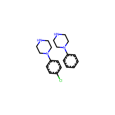 Clc1ccc(N2CCNCC2)cc1.c1ccc(N2CCNCC2)cc1